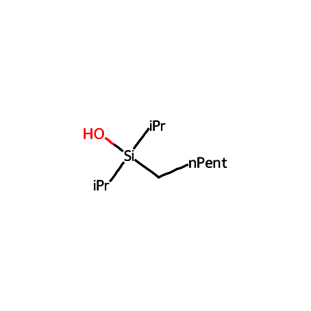 CCCCCC[Si](O)(C(C)C)C(C)C